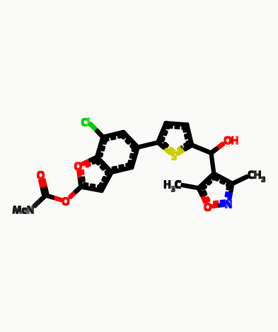 CNC(=O)Oc1cc2cc(-c3ccc(C(O)c4c(C)noc4C)s3)cc(Cl)c2o1